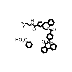 CN(C)CCNC(=O)C1=C[C@@]2(CC1)CCN(C(=O)c1ccc(NC(=O)c3ccccc3-c3ccccc3)cc1)c1ccccc1C2.O=C(O)c1ccccc1